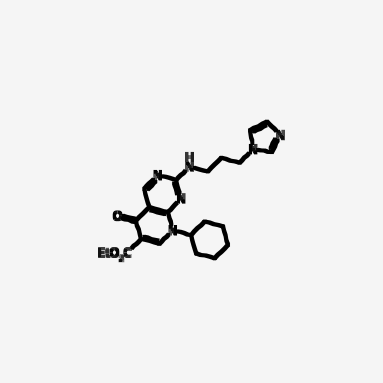 CCOC(=O)c1cn(C2CCCCC2)c2nc(NCCCn3ccnc3)ncc2c1=O